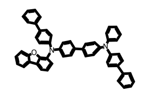 c1ccc(-c2ccc(N(c3ccccc3)c3ccc(-c4ccc(N(c5ccc(-c6ccccc6)cc5)c5cccc6c5oc5ccccc56)cc4)cc3)cc2)cc1